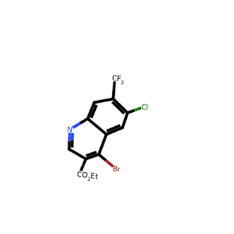 CCOC(=O)c1cnc2cc(C(F)(F)F)c(Cl)cc2c1Br